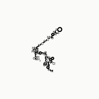 CC[C@@H](NC(=O)CCOCCOCCOCCOCCNC(=O)c1ccc2nc3c(nc2c1)CSc1cccccccc(c1)SC3)C(=O)N[C@H](CCCNC(N)=O)C(=O)Nc1ccc(COC(=O)N(C)C[C@H](CCCCN2CCOCC2)N(C)C(=O)Oc2cc3c(c4ccccc24)[C@H](CCl)CN3C(=O)c2cc3cc(OCCN(C)C)ccc3[nH]2)cc1